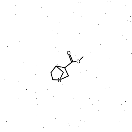 COC(=O)C1CN2CCC1C2